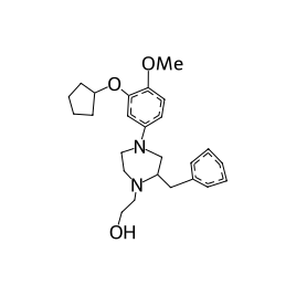 COc1ccc(N2CCN(CCO)C(Cc3ccccc3)C2)cc1OC1CCCC1